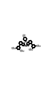 CC(C)(C)C1=Cc2c(-c3cc(C(C)(C)C)cc(C(C)(C)C)c3)cccc2[CH]1[Zr+2]1([CH]2C(C(C)(C)C)=Cc3c(-c4cc(C(C)(C)C)cc(C(C)(C)C)c4)cccc32)[CH]2CCCC[CH]21.[Cl-].[Cl-]